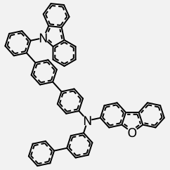 c1ccc(-c2cccc(N(c3ccc(-c4ccc(-c5ccccc5-n5c6ccccc6c6ccccc65)cc4)cc3)c3ccc4c(c3)oc3ccccc34)c2)cc1